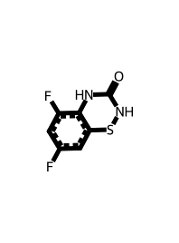 O=C1NSc2cc(F)cc(F)c2N1